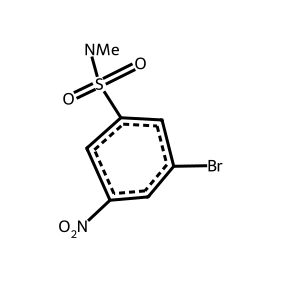 CNS(=O)(=O)c1cc(Br)cc([N+](=O)[O-])c1